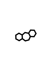 C1CCC2CC3CCCCC3CCC2C1